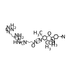 CCc1cc2c(cc1N1CCN(C(=O)CCCN3CC[C@@H](NC(=O)C[C@@H](N)CCCn4ccnc4N)C3)CC1)C(C)(C)c1[nH]c3cc(C#N)ccc3c1C2=O